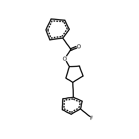 O=C(OC1CCC(c2cccc(F)c2)C1)c1ccccc1